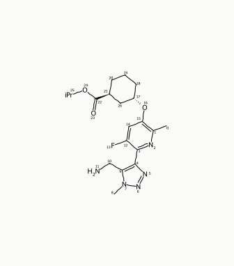 Cc1nc(-c2nnn(C)c2CN)c(F)cc1O[C@H]1CCC[C@H](C(=O)OC(C)C)C1